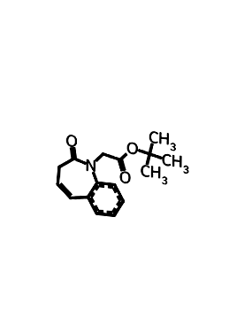 CC(C)(C)OC(=O)CN1C(=O)CC=Cc2ccccc21